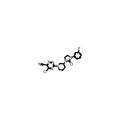 N#Cc1nnc(N2CCCC(N3CCN(c4cccc(F)c4)C3=O)C2)nc1Cl